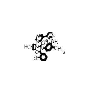 CCc1ccccc1C(=O)N(c1ccc(C)c(Nc2nccc(-c3cncnc3)n2)c1)C(C)N1CCNCC1.Cl